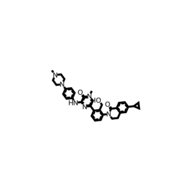 CN1CCN(c2ccc(Nc3nc(-c4cccc(N5CCc6cc(C7CC7)ccc6C5=O)c4CO)cn(C)c3=O)cc2)CC1